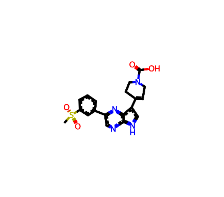 CS(=O)(=O)c1cccc(-c2cnc3[nH]cc(C4=CCN(C(=O)O)CC4)c3n2)c1